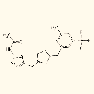 CC(=O)Nc1ncc(CN2CCC(Cc3cc(C(F)(F)F)cc(C)n3)C2)s1